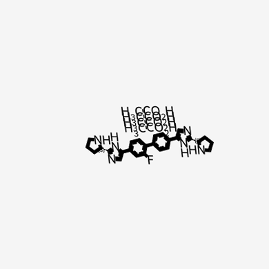 CC(=O)O.CC(=O)O.CC(=O)O.CC(=O)O.Fc1cc(-c2cnc([C@@H]3CCCN3)[nH]2)ccc1-c1ccc(-c2cnc([C@@H]3CCCN3)[nH]2)cc1